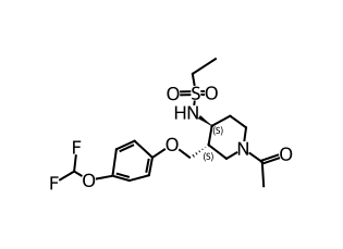 CCS(=O)(=O)N[C@H]1CCN(C(C)=O)C[C@@H]1COc1ccc(OC(F)F)cc1